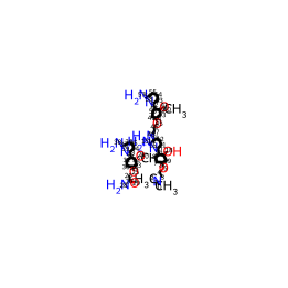 CN(C)CCOc1ccc(-c2cccc(N)n2)c(O)c1.COc1cc(OCC(N)=O)ccc1-c1cccc(N)n1.COc1cc(OCCN)ccc1-c1cccc(N)n1